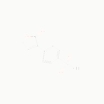 CS(=O)(=O)c1ccc(C2=CCOC2=O)cc1